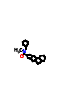 CN(Cc1ccccc1)C(=O)C1=Cc2cc3c4c(ccc3cc2=C1)=CC=CC4